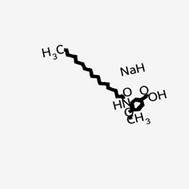 CCCCCCCCCCCCCCCC(=O)Nc1cc(C(=O)O)ccc1OC.[NaH]